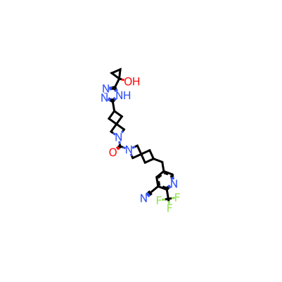 N#Cc1cc(CC2CC3(C2)CN(C(=O)N2CC4(CC(c5nnc(C6(O)CC6)[nH]5)C4)C2)C3)cnc1C(F)(F)F